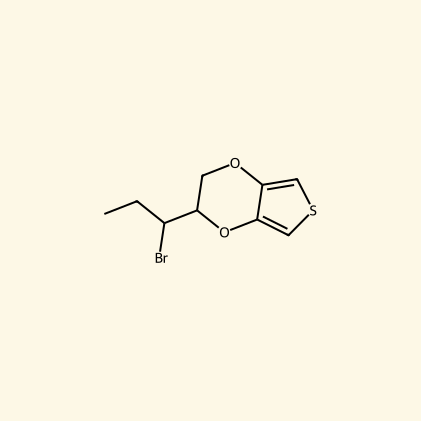 CCC(Br)C1COc2cscc2O1